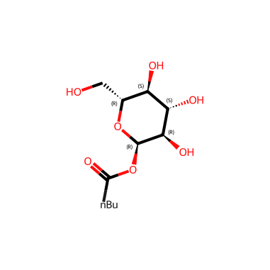 CCCCC(=O)O[C@H]1O[C@H](CO)[C@@H](O)[C@H](O)[C@H]1O